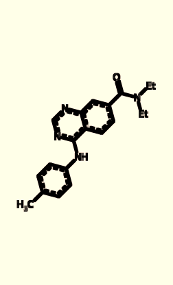 CCN(CC)C(=O)c1ccc2c(Nc3ccc(C)cc3)ncnc2c1